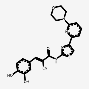 N#C/C(=C\c1ccc(O)c(O)c1)C(=O)Nc1nc(-c2cccc(N3CCOCC3)n2)cs1